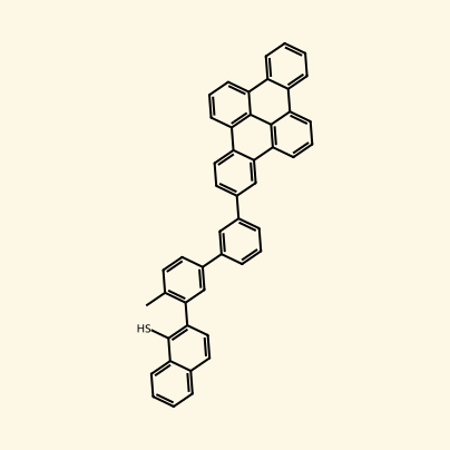 Cc1ccc(-c2cccc(-c3ccc4c(c3)c3cccc5c6ccccc6c6cccc4c6c53)c2)cc1-c1ccc2ccccc2c1S